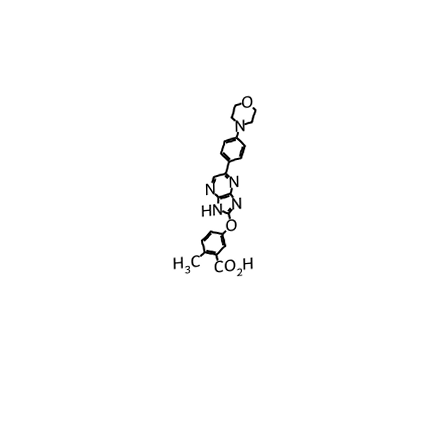 Cc1ccc(Oc2nc3nc(-c4ccc(N5CCOCC5)cc4)cnc3[nH]2)cc1C(=O)O